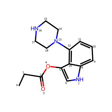 CCC(=O)Oc1c[nH]c2cccc(N3CCNCC3)c12